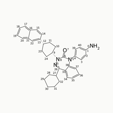 Nc1ccc(N2C(=O)N([C@H]3CC[C@@H](c4ccc5ccccc5c4)CC3)N=C(C3CCCCC3)c3ccccc32)cc1